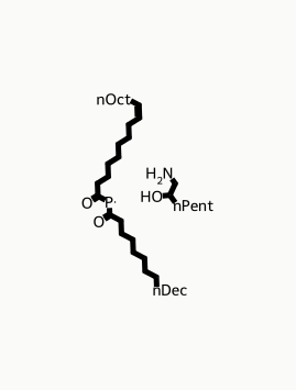 CCCCCC(O)CN.CCCCCCCC/C=C\CCCCCCCC(=O)[P]C(=O)CCCCCCCCCCCCCCCCC